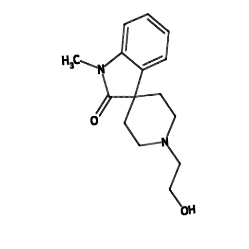 CN1C(=O)C2(CCN(CCO)CC2)c2ccccc21